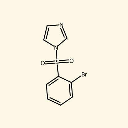 O=S(=O)(c1ccccc1Br)n1ccnc1